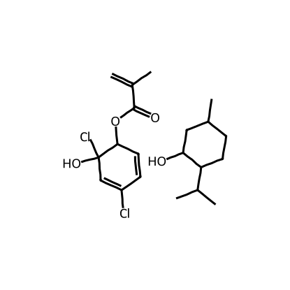 C=C(C)C(=O)OC1C=CC(Cl)=CC1(O)Cl.CC1CCC(C(C)C)C(O)C1